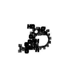 CN1CCCC/C=C\[C@@H]2C[C@@]2(C(=O)NS(=O)(=O)C2CC2)NC(=O)C2C[C@@H](O)C[C@H]2C1=O